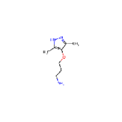 Cc1n[nH]c(C)c1OCCCN